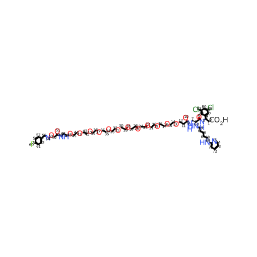 O=C(O)CC(NC(=O)[C@H](CNC(=O)CCOCCOCCOCCOCCOCCOCCOCCOCCOCCOCCOCCOCCNC(=O)CO/N=C/c1ccc(F)cc1)NCCCCCNc1ccccn1)c1cc(Cl)cc(Cl)c1